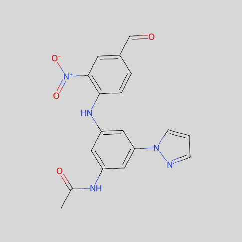 CC(=O)Nc1cc(Nc2ccc(C=O)cc2[N+](=O)[O-])cc(-n2cccn2)c1